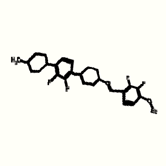 CCOc1ccc(COC2CCC(c3ccc(C4CCC(C)CC4)c(F)c3F)CC2)c(F)c1F